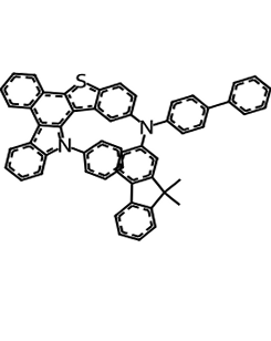 CC1(C)c2ccccc2-c2ccc(N(c3ccc(-c4ccccc4)cc3)c3ccc4sc5c6ccccc6c6c7ccccc7n(-c7ccccc7)c6c5c4c3)cc21